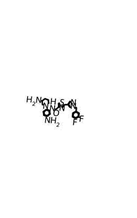 Nc1ccc(N2CCCC(N)C2)c(NC(=O)c2csc(-c3cnn(Cc4ccc(F)c(F)c4)c3)n2)c1